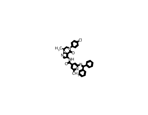 Cc1cc(C(=O)Nc2cnn3c2C(=O)N(c2ccc(Cl)cc2)C[C@@H]3C)cc(N=C(c2ccccc2)c2ccccc2)n1